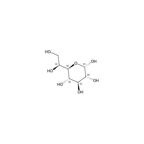 OC[C@H](O)[C@H]1O[C@H](O)[C@H](O)[C@@H](O)[C@@H]1O